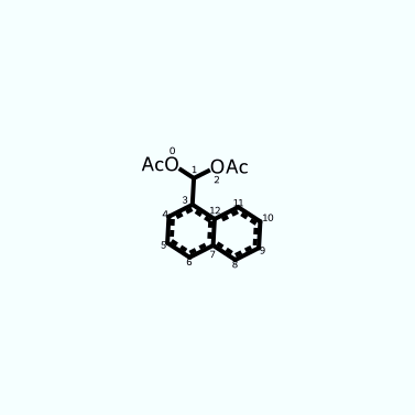 CC(=O)OC(OC(C)=O)c1cccc2ccccc12